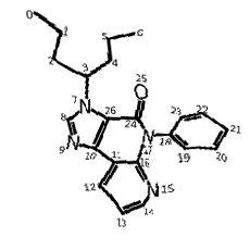 CCCC(CCC)n1cnc2c3cccnc3n(-c3ccccc3)c(=O)c21